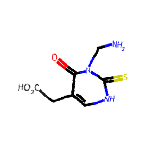 NCn1c(=S)[nH]cc(CC(=O)O)c1=O